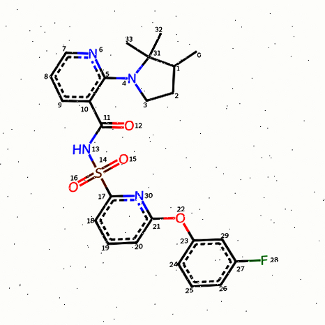 CC1CCN(c2ncccc2C(=O)NS(=O)(=O)c2cccc(Oc3cccc(F)c3)n2)C1(C)C